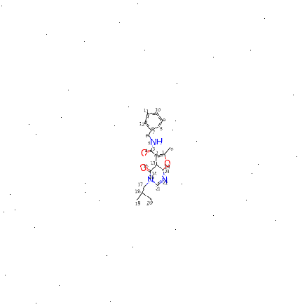 CC1=C(C(=O)NCc2ccccc2)C2C(=O)N(CC(C)C)C=NC2O1